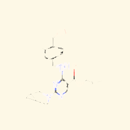 CCOC(=O)c1cnc(N2CC3CC3C2)nc1NCc1ccc(CO)c(F)c1